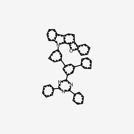 c1ccc(-c2cc(-c3cccc(-n4c5ccccc5c5ccc6c7ccccc7oc6c54)c3)cc(-c3nc(-c4ccccc4)nc(-c4ccccc4)n3)c2)cc1